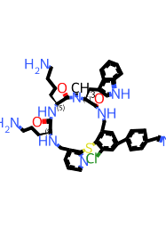 CN1C(=O)[C@H](CCCCN)NC(=O)[C@H](CCCN)NCc2cccnc2Sc2c(Cl)cc(-c3ccc(C#N)cc3)cc2CNC(=O)[C@@H]1Cc1c[nH]c2ccccc12